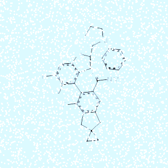 CNC(=O)c1cc2c(c(F)c1-c1c(Cl)c(F)cc3c1C[C@](c1ccccc1)([C@@H]1CCCN1)O3)CC1(CC1)C2